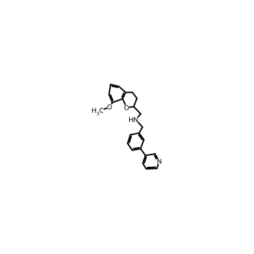 COc1cccc2c1OC(CNCc1cccc(-c3cccnc3)c1)CC2